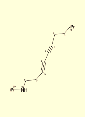 CC(C)CCC#CC#CCCNC(C)C